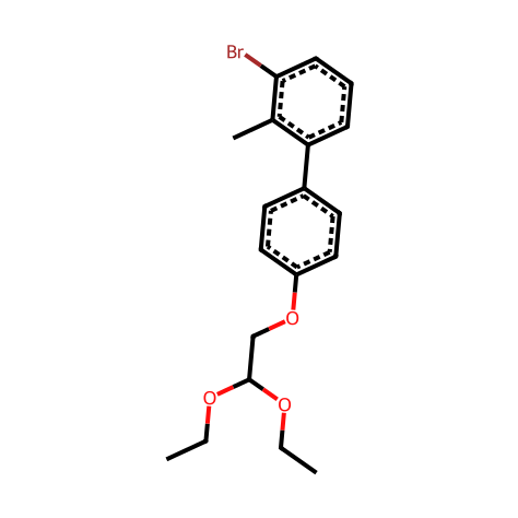 CCOC(COc1ccc(-c2cccc(Br)c2C)cc1)OCC